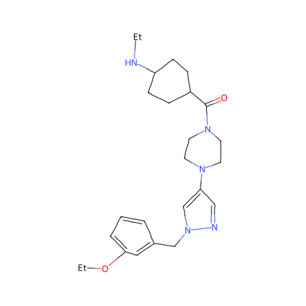 CCNC1CCC(C(=O)N2CCN(c3cnn(Cc4cccc(OCC)c4)c3)CC2)CC1